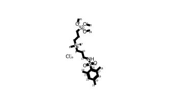 CO[Si](CCC[N+](C)(C)CCCNS(=O)(=O)c1c(C)cc(C)cc1C)(OC)OC.[Cl-]